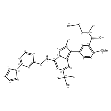 COc1ccc(-c2c(C)nn3c(NCc4cccc(-n5cccn5)c4)cc(C(C)(C)O)nc23)cc1C(=O)N(C)CCO